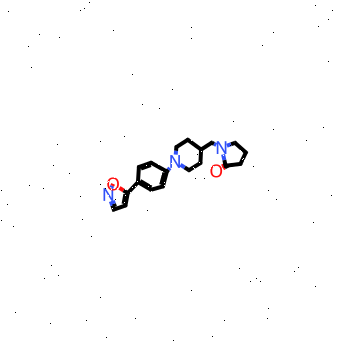 O=C1CCCN1CC1CCN(c2ccc(-c3ccno3)cc2)CC1